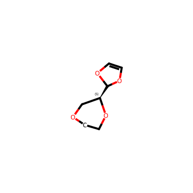 C1=COC([C@@H]2COCCO2)O1